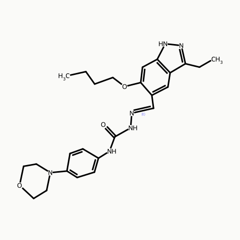 CCCCOc1cc2[nH]nc(CC)c2cc1/C=N/NC(=O)Nc1ccc(N2CCOCC2)cc1